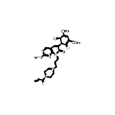 C=CC(=O)N1CCN(CCCn2c(=O)c(C3C(Cl)=C(OC)C=C(OC)C3Cl)cc3cnc(NC)nc32)CC1